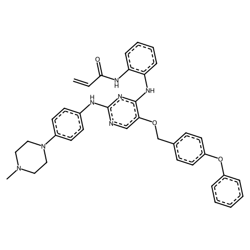 C=CC(=O)Nc1ccccc1Nc1nc(Nc2ccc(N3CCN(C)CC3)cc2)ncc1OCc1ccc(Oc2ccccc2)cc1